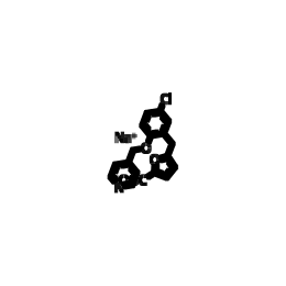 O=C([O-])c1ccc(Cc2cc(Cl)ccc2OCc2ccncc2)o1.[Na+]